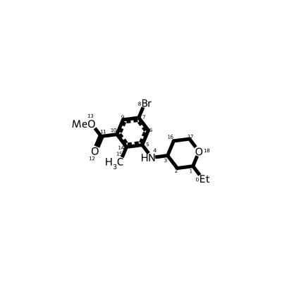 CCC1CC(Nc2cc(Br)cc(C(=O)OC)c2C)CCO1